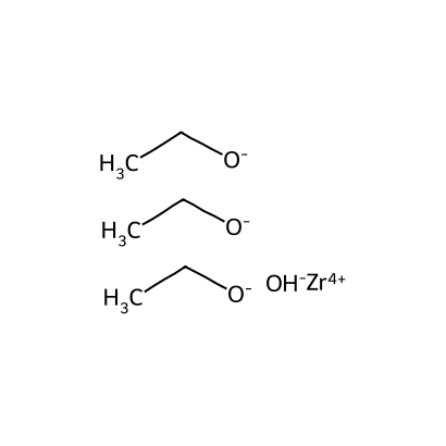 CC[O-].CC[O-].CC[O-].[OH-].[Zr+4]